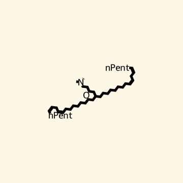 CCCCC/C=C\C/C=C\CCCCCCCCC(CCCCCCCC/C=C\C/C=C\CCCCC)CC(=O)CCN(C)C